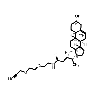 C#CCOCCOCCNC(=O)CCC(C)[C@H]1CC[C@H]2[C@@H]3CC=C4C[C@@H](O)CC[C@]4(C)[C@H]3CC[C@]12C